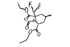 C=C1CC(C(=O)OCC)N(C=O)C(C(=O)OCC)(C(F)F)C1